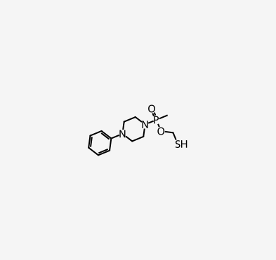 CP(=O)(OCS)N1CCN(c2ccccc2)CC1